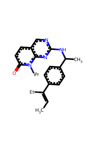 C/C=C(\CC)c1ccc(C(C)Nc2ncc3ccc(=O)n(C(C)C)c3n2)cc1